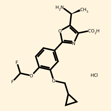 C[C@H](N)c1oc(-c2ccc(OC(F)F)c(OCC3CC3)c2)nc1C(=O)O.Cl